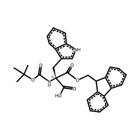 CC(C)(C)OC(=O)N[C@@](Cc1c[nH]c2ccccc12)(C(=O)O)C(=O)OCC1c2ccccc2-c2ccccc21